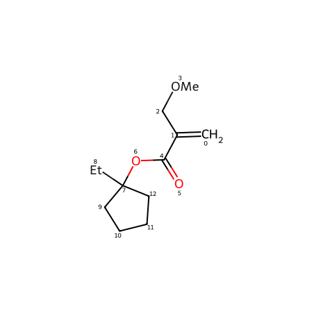 C=C(COC)C(=O)OC1(CC)CCCC1